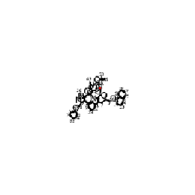 CCOC(=O)c1c(CCCOc2cccc3ccccc23)c2cccc(-c3c(COc4ccccc4)nn(C)c3CO)c2n1CCCN(C)C(=O)OC(C)(C)C